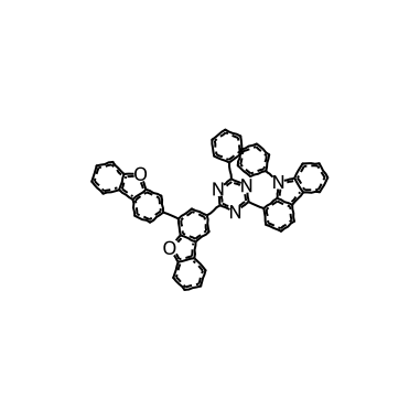 c1ccc(-c2nc(-c3cc(-c4ccc5c(c4)oc4ccccc45)c4oc5ccccc5c4c3)nc(-c3cccc4c5ccccc5n(-c5ccccc5)c34)n2)cc1